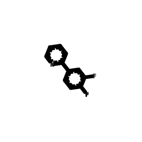 Fc1ccc(-c2c[c]ccn2)cc1F